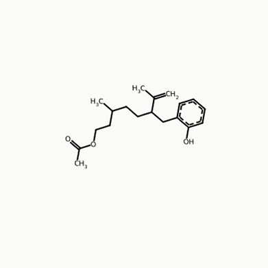 C=C(C)C(CCC(C)CCOC(C)=O)Cc1ccccc1O